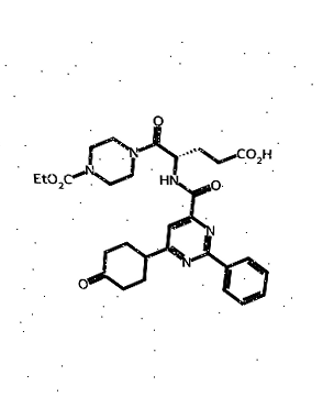 CCOC(=O)N1CCN(C(=O)[C@H](CCC(=O)O)NC(=O)c2cc(C3CCC(=O)CC3)nc(-c3ccccc3)n2)CC1